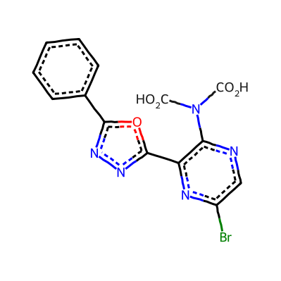 O=C(O)N(C(=O)O)c1ncc(Br)nc1-c1nnc(-c2ccccc2)o1